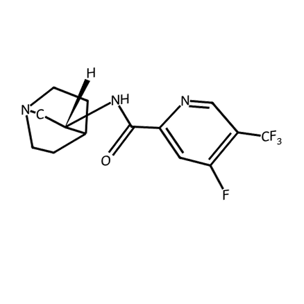 O=C(N[C@H]1CN2CCC1CC2)c1cc(F)c(C(F)(F)F)cn1